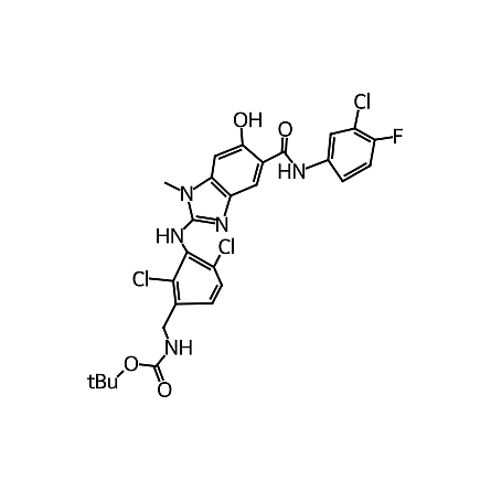 Cn1c(Nc2c(Cl)ccc(CNC(=O)OC(C)(C)C)c2Cl)nc2cc(C(=O)Nc3ccc(F)c(Cl)c3)c(O)cc21